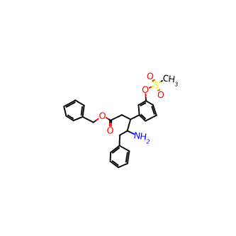 CS(=O)(=O)Oc1cccc(C(CC(=O)OCc2ccccc2)C(N)Cc2ccccc2)c1